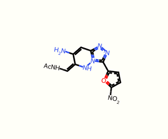 CC(=O)NC=C1Nn2c(nnc2-c2ccc([N+](=O)[O-])o2)C=C1N